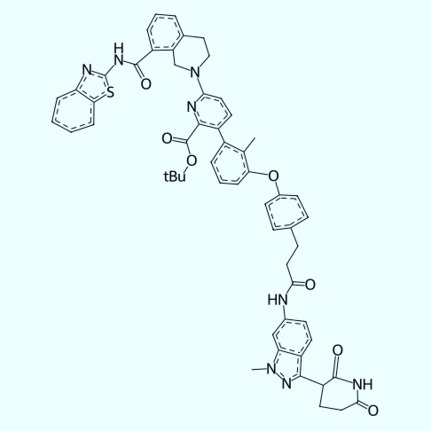 Cc1c(Oc2ccc(CCC(=O)Nc3ccc4c(C5CCC(=O)NC5=O)nn(C)c4c3)cc2)cccc1-c1ccc(N2CCc3cccc(C(=O)Nc4nc5ccccc5s4)c3C2)nc1C(=O)OC(C)(C)C